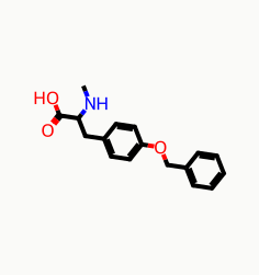 CNC(Cc1ccc(OCc2ccccc2)cc1)C(=O)O